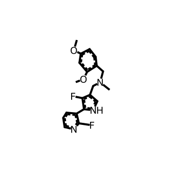 COc1ccc(CN(C)Cc2c[nH]c(-c3cccnc3F)c2F)c(OC)c1